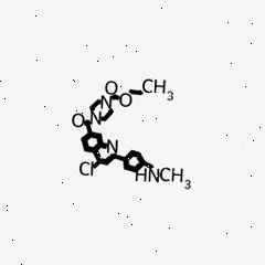 CCCOC(=O)N1CCN(C(=O)c2ccc3c(Cl)cc(-c4ccc(CNC)cc4)nc3c2)CC1